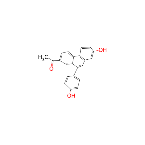 CC(=O)c1ccc2c(c1)c(-c1ccc(O)cc1)cc1cc(O)ccc12